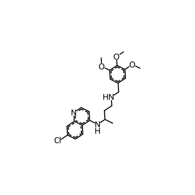 COc1cc(CNCCC(C)Nc2ccnc3cc(Cl)ccc23)cc(OC)c1OC